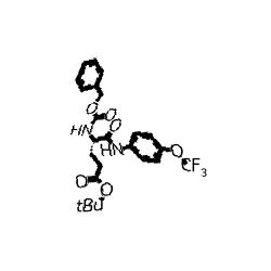 CC(C)(C)OC(=O)CC[C@H](NC(=O)OCc1ccccc1)C(=O)Nc1ccc(OC(F)(F)F)cc1